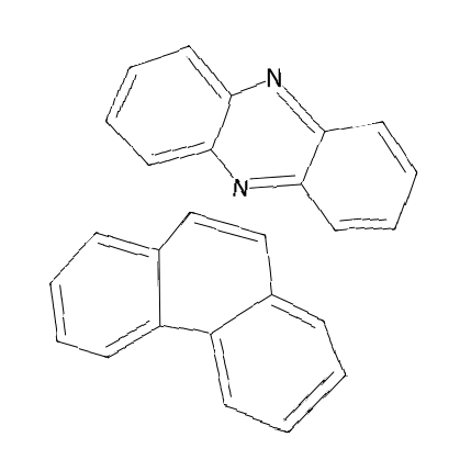 c1ccc2c(c1)ccc1ccccc12.c1ccc2nc3ccccc3nc2c1